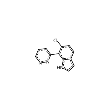 Clc1ccc2cc[nH]c2c1-c1cccnn1